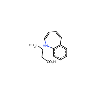 C1=CNc2ccccc2C=C1.O=C(O)CCC(=O)O